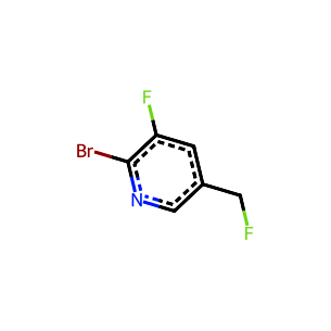 FCc1cnc(Br)c(F)c1